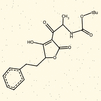 CC(NC(=O)OC(C)(C)C)C(=O)C1=C(O)C(CCc2ccccc2)OC1=O